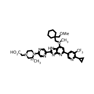 COCC1(CN(C)c2cc(-c3cnc(C4CC4)c(C(F)(F)F)c3)nc3nc(-c4cnc(N5CCN(CC(=O)O)C[C@H]5C)cn4)[nH]c23)CCCCC1